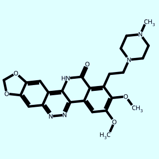 COc1cc2c(c(CCN3CCN(C)CC3)c1OC)c(=O)[nH]c1c3cc4c(cc3nnc21)OCO4